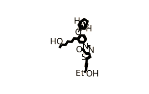 CCC(O)C#Cc1cc2ncn(-c3ccc(O[C@H]4C[C@H]5CC[C@@H](C4)N5C)c(CCCCC(C)O)c3)c(=O)c2s1